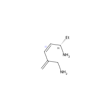 C=C(/C=C\[C@@H](N)CC)CN